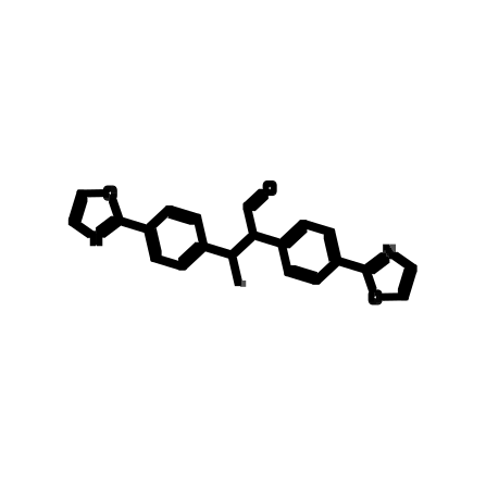 [CH2]C(c1ccc(-c2ncco2)cc1)C(C=O)c1ccc(-c2ncco2)cc1